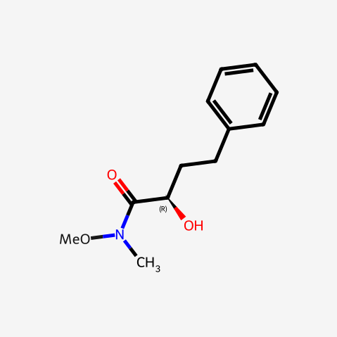 CON(C)C(=O)[C@H](O)CCc1ccccc1